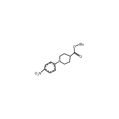 CC(C)(C)OC(=O)C1CCN(c2ccc([N+](=O)[O-])cc2)CC1